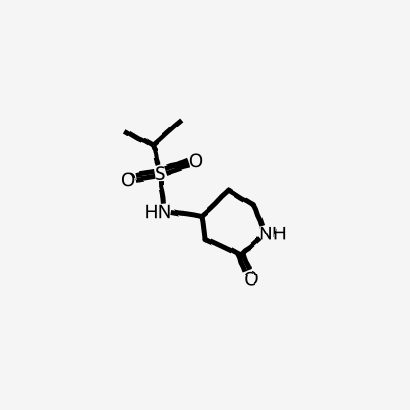 CC(C)S(=O)(=O)NC1CCNC(=O)C1